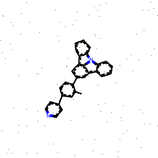 Cc1cc(-c2ccncc2)ccc1-c1cc2c3ccccc3n3c4ccccc4c(c1)c23